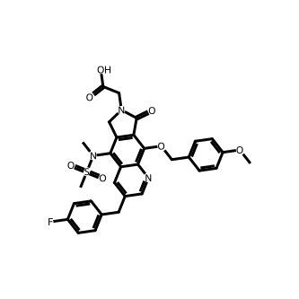 COc1ccc(COc2c3c(c(N(C)S(C)(=O)=O)c4cc(Cc5ccc(F)cc5)cnc24)CN(CC(=O)O)C3=O)cc1